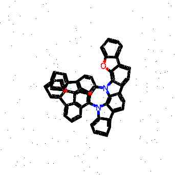 c1ccc(-c2ccc(-n3c4c(ccc5c6ccccc6oc54)c4ccc5c6ccccc6n(-c6ccc7c8c(cccc68)-c6ccccc6-7)c5c43)cc2)cc1